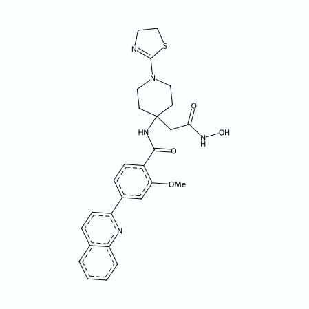 COc1cc(-c2ccc3ccccc3n2)ccc1C(=O)NC1(CC(=O)NO)CCN(C2=NCCS2)CC1